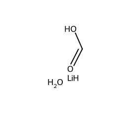 O.O=CO.[LiH]